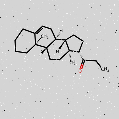 CCC(=O)[C@H]1CC[C@H]2[C@@H]3CC=C4CCCC[C@]4(C)[C@H]3CC[C@]12C